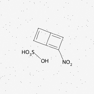 O=S(=O)(O)O.O=[N+]([O-])c1cc2ccc1-2